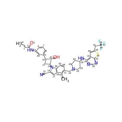 C=CC(=O)Nc1cccc(C2CC(n3c(C#N)cc4c(C)c(CN5CCC(Nc6ncnc7sc(CC(F)(F)F)cc67)CC5)ccc43)C2O)c1